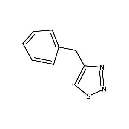 [c]1snnc1Cc1ccccc1